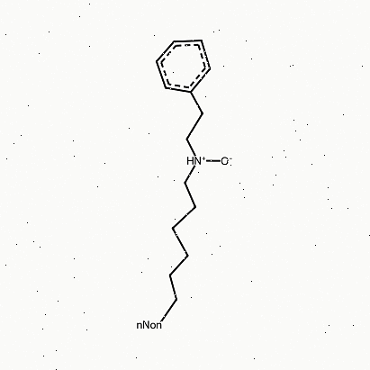 CCCCCCCCCCCCCCC[NH+]([O-])CCc1ccccc1